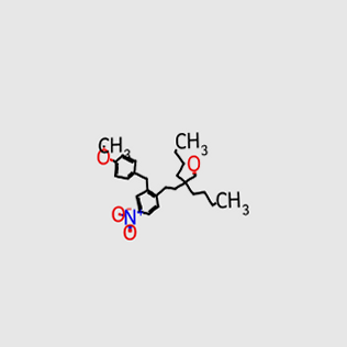 CCCCC(C=O)(CCCC)CCc1ccc([N+](=O)[O-])cc1Cc1ccc(OC)cc1